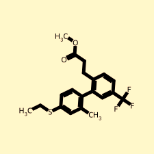 CCSc1ccc(-c2cc(C(F)(F)F)ccc2CCC(=O)OC)c(C)c1